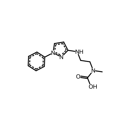 CN(CCNc1ccn(-c2ccccc2)n1)C(=O)O